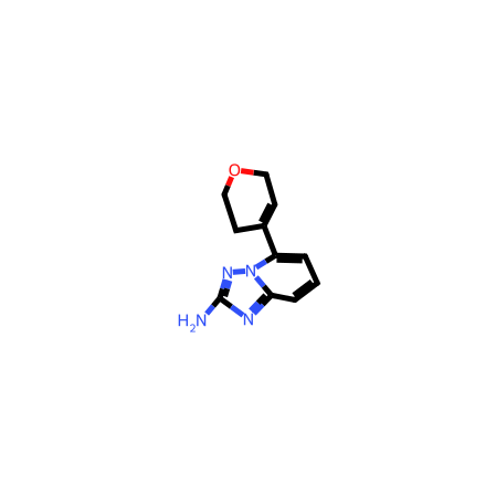 Nc1nc2cccc(C3=CCOCC3)n2n1